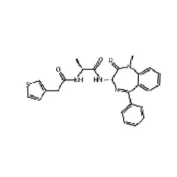 C[C@H](NC(=O)Cc1ccsc1)C(=O)N[C@H]1N=C(c2ccccc2)c2ccccc2N(C)C1=O